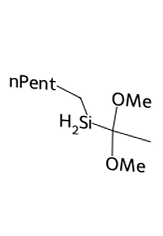 CCCCCC[SiH2]C(C)(OC)OC